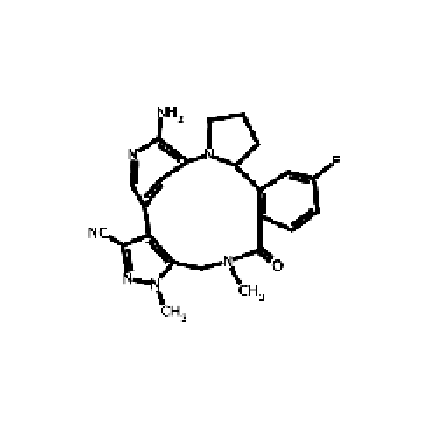 CN1Cc2c(c(C#N)nn2C)-c2cnc(N)c(c2)N2CCCC2c2cc(F)ccc2C1=O